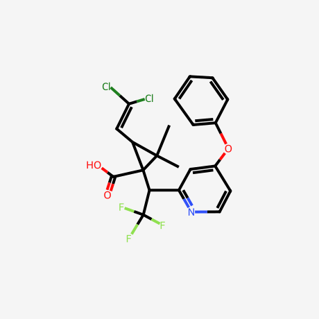 CC1(C)C(C=C(Cl)Cl)C1(C(=O)O)C(c1cc(Oc2ccccc2)ccn1)C(F)(F)F